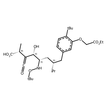 CCOC(=O)COc1cc(C[C@@H](C[C@H](NOC(C)(C)C)[C@@H](O)C(=C=O)[C@@H](C)C(=O)O)C(C)C)ccc1C(C)(C)C